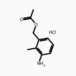 CC(=O)OCc1cccc(N)c1C.Cl